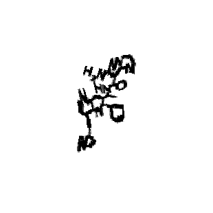 C[C@H](NC(=O)c1c(N)nn2cccnc12)c1cc2nccc(C#Cc3ccn(C)n3)c2nc1-c1ccccc1